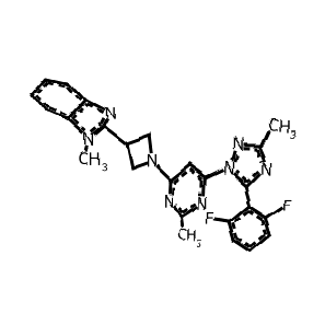 Cc1nc(N2CC(c3nc4ccccc4n3C)C2)cc(-n2nc(C)nc2-c2c(F)cccc2F)n1